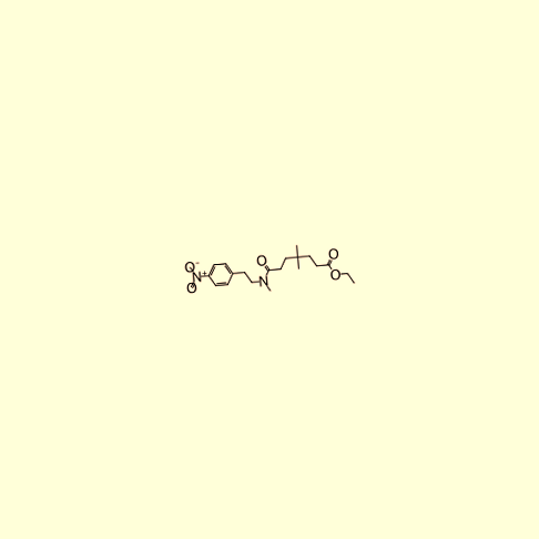 CCOC(=O)CCC(C)(C)CCC(=O)N(C)CCc1ccc([N+](=O)[O-])cc1